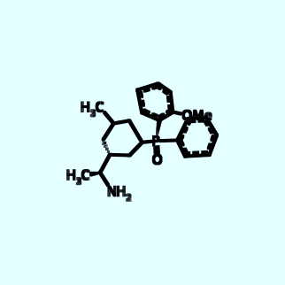 COc1ccccc1[P@](=O)(c1ccccc1)C1CC(C)C[C@@H]([C@H](C)N)C1